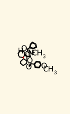 COc1ccc(C(=O)OC2(C(CN(C)C)C3(OC(=O)c4ccccc4)CCCCC3)CCCCC2)cc1